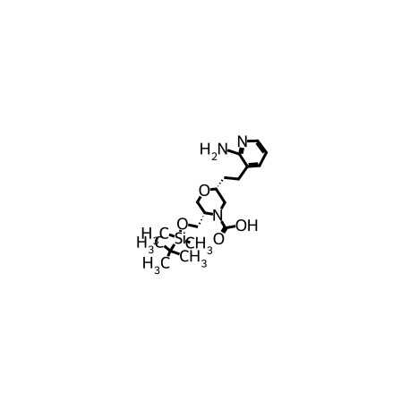 CC(C)(C)[Si](C)(C)OC[C@@H]1CO[C@H](CCc2cccnc2N)CN1C(=O)O